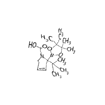 CC(C)(C)C1(B2OC(C)(C)C(C)(C)O2)C=CCN1C(=O)O